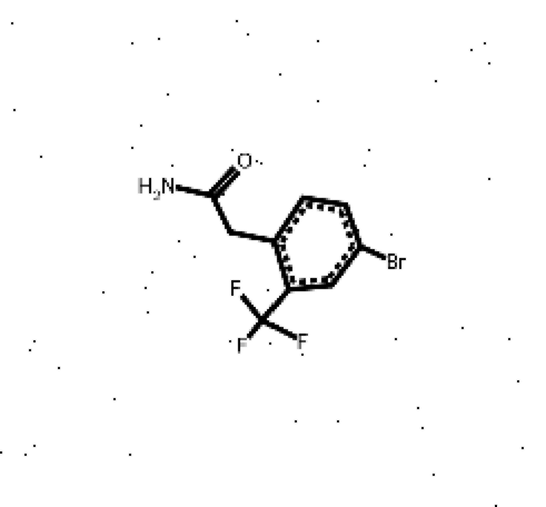 NC(=O)Cc1ccc(Br)cc1C(F)(F)F